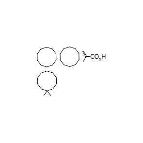 C1CCCCCCCCC1.C1CCCCCCCCC1.C=C(C)C(=O)O.CC1(C)CCCCCCCCC1